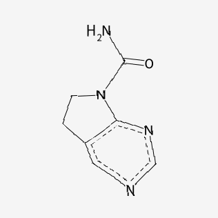 NC(=O)N1CCc2cncnc21